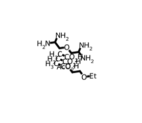 CC(=O)O.CC(=O)O.CC(=O)O.CCOCCOC(C)=O.NC(N)COCC(N)N